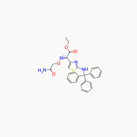 CCOC(=O)/C(=N/OCC(N)=O)c1csc(NC(c2ccccc2)(c2ccccc2)c2ccccc2)n1